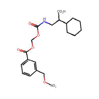 O=C(NCC(C(=O)O)C1CCCCC1)OCOC(=O)c1cccc(CO[N+](=O)[O-])c1